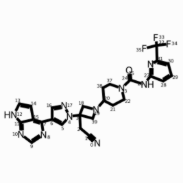 N#CCC1(n2cc(-c3ncnc4[nH]ccc34)cn2)CN(C2CCN(C(=O)Nc3cccc(C(F)(F)F)n3)CC2)C1